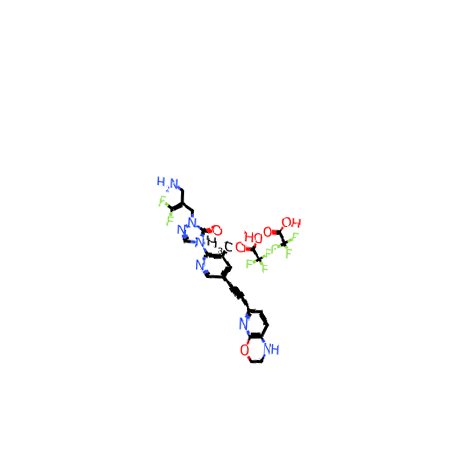 Cc1cc(C#Cc2ccc3c(n2)OCCN3)cnc1-n1cnn(CC(CN)=C(F)F)c1=O.O=C(O)C(F)(F)F.O=C(O)C(F)(F)F